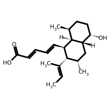 C/C=C(\C)[C@@H]1[C@@H](/C=C/C=C/C(=O)O)[C@@H]2[C@@H](C[C@@H]1C)[C@@H](O)CC[C@@H]2C